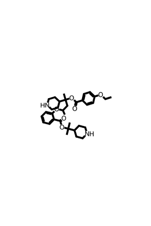 CCOc1ccc(C(=O)OC(C)(CC(C)Oc2ccccc2C(=O)OC(C)(C)C2CCNCC2)C2CCNCC2)cc1